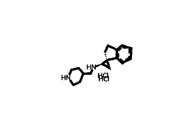 Cl.Cl.c1ccc2c(c1)CC[C@@]21C[C@H]1NCC1CCNCC1